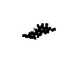 CCCc1ccc(C2=C(F)C3=C(CC2C)c2ccc(OCC)c(F)c2C(F)C3F)c(F)c1